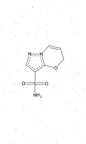 NS(=O)(=O)c1cnn2c1OCC=C2